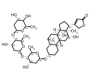 C[C@H]1O[C@@H](O[C@H]2[C@@H](O)C[C@H](O[C@H]3[C@@H](O)C[C@H](O[C@H]4CC[C@]5(C)[C@H]6C[C@@H](O)[C@]7(C)[C@@H](C8=CC(=O)OC8)CC[C@]7(O)[C@@H]6CCN5C4)O[C@@H]3C)O[C@@H]2C)C[C@H](O)C1O